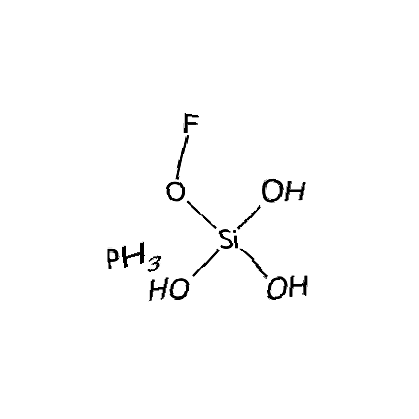 O[Si](O)(O)OF.P